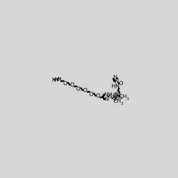 C[Si](C)(CCCNC(=O)n1ccnc1)O[Si](C)(C)CSc1ncc(COCCOCCOCCOCCOCCOCCN=[N+]=[N-])cn1